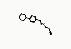 C#CCCON=[C]c1ccc(C2CCCCC2)cc1